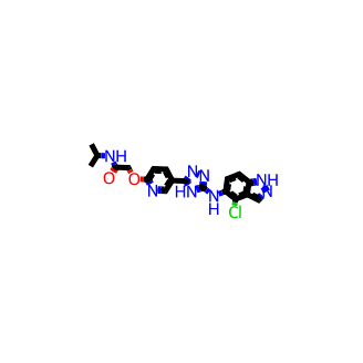 CC(C)NC(=O)COc1ccc(-c2nnc(Nc3ccc4[nH]ncc4c3Cl)[nH]2)cn1